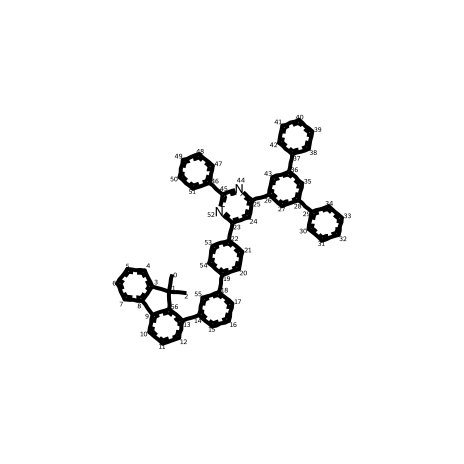 CC1(C)c2ccccc2-c2cccc(-c3cccc(-c4ccc(-c5cc(-c6cc(-c7ccccc7)cc(-c7ccccc7)c6)nc(-c6ccccc6)n5)cc4)c3)c21